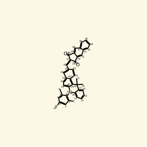 Cc1cc(F)cc(C)c1N1c2ccccc2C(C)(C)c2c1ccc1cc(C=C3C(=O)c4cc5ccccc5cc4C3=O)ccc21